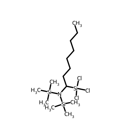 CCCCCCCC(N([Si](C)(C)C)[Si](C)(C)C)[Si](Cl)(Cl)Cl